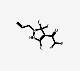 C=CCN1NC(Cl)=C(C(=O)C(F)F)C1(F)F